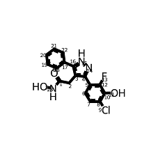 O=C(Cc1c(-c2ccc(Cl)c(O)c2F)n[nH]c1-c1ccccc1)NO